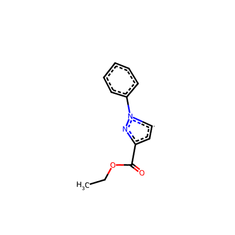 CCOC(=O)c1c[c]n(-c2ccccc2)n1